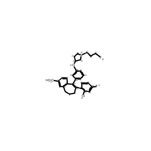 O=C(O)c1ccc2c(c1)CCCC(c1ccc(F)cc1Cl)=C2c1cccc(OC2CCN(CCCF)C2)c1